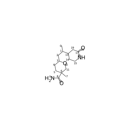 CC(CC1CCC(C)(C(N)=O)CO1)C1CCNC(=O)C1